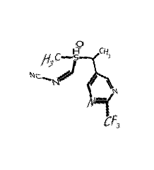 CC(c1cnc(C(F)(F)F)nc1)[SH](C)(=O)/C=N\C#N